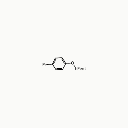 [CH2]CCCCOc1ccc(C(C)C)cc1